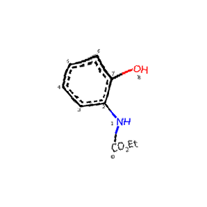 CCOC(=O)Nc1ccccc1O